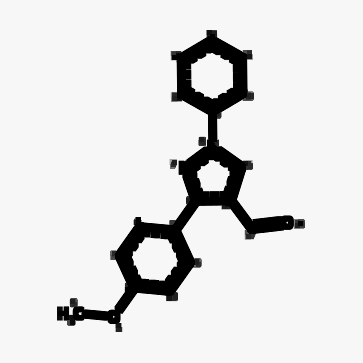 COc1ccc(-c2nn(-c3ccccc3)cc2C=O)cc1